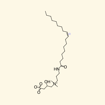 CCCCCCCC/C=C\CCCCCCCC(=O)NCCC[N+](C)(C)CC(O)CS(=O)(=O)[O-]